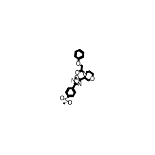 CS(=O)(=O)c1ccc(-c2noc(C3COCCN3C(=O)COc3ccccc3)n2)cc1